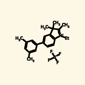 CC[N+]1=C(C)C(C)(C)c2cc(-c3cc(C)cc(C)c3)ccc21.F[B-](F)(F)F